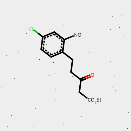 CCOC(=O)CC(=O)CCc1ccc(Cl)cc1N=O